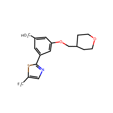 O=C(O)c1cc(OCC2CCOCC2)cc(-c2ncc(C(F)(F)F)s2)c1